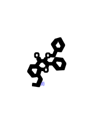 C/C=C\c1cccc2c(=O)c(OCc3ccccc3)c(-c3ccccc3)oc12